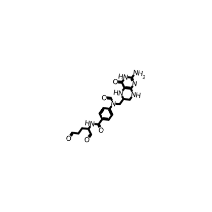 Nc1nc2c(c(=O)[nH]1)NC(CN(C=O)c1ccc(C(=O)NC(C=O)CCC=O)cc1)CN2